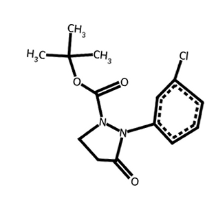 CC(C)(C)OC(=O)N1CCC(=O)N1c1cccc(Cl)c1